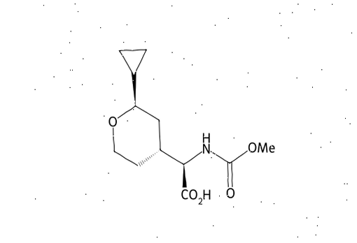 COC(=O)N[C@@H](C(=O)O)[C@@H]1CCO[C@@H](C2CC2)C1